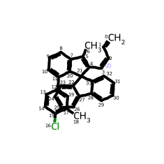 C=C/C=C\C1=C(C)c2cccc(-c3ccc(Cl)c(C)c3)c2C12c1ccccc1-c1ccccc12